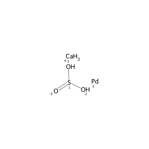 O=S(O)O.[CaH2].[Pd]